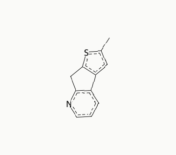 Cc1cc2c(s1)Cc1ncccc1-2